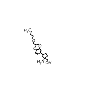 CCCCCOCC1COc2cc(C3CCC(N)(CO)C3)ccc2O1